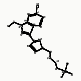 CCn1nc(C2=NC(COCC[Si](C)(C)C)C=C2)c2ccc(Cl)cc21